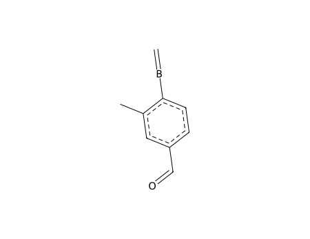 C=Bc1ccc(C=O)cc1C